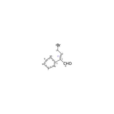 O=C/C(=C/CBr)c1ccccc1